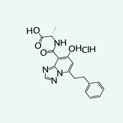 C[C@H](NC(=O)c1c(O)cc(CCc2ccccc2)n2ncnc12)C(=O)O.Cl